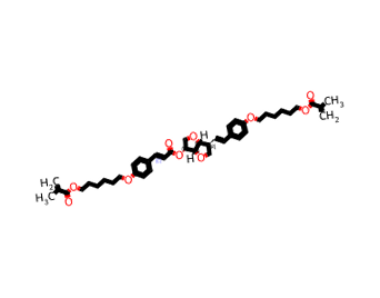 C=C(C)C(=O)OCCCCCCOc1ccc(C=C[C@@H]2CO[C@H]3[C@@H]2OC[C@H]3OC(=O)/C=C/c2ccc(OCCCCCCOC(=O)C(=C)C)cc2)cc1